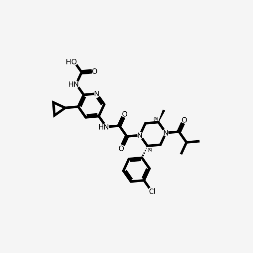 CC(C)C(=O)N1C[C@H](c2cccc(Cl)c2)N(C(=O)C(=O)Nc2cnc(NC(=O)O)c(C3CC3)c2)C[C@H]1C